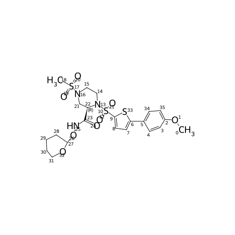 COc1ccc(-c2ccc(S(=O)(=O)N3CCN(S(C)(=O)=O)C[C@@H]3C(=O)NOC3CCCCO3)s2)cc1